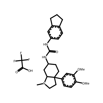 COc1ccc(C23CCC(NC(=O)Nc4ccc5c(c4)CCC5)CC2N(C)CC3)cc1OC.O=C(O)C(F)(F)F